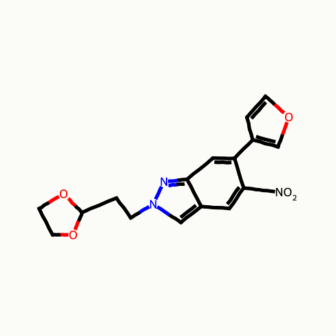 O=[N+]([O-])c1cc2cn(CCC3OCCO3)nc2cc1-c1ccoc1